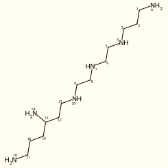 NCCCNCCNCCNCCC(N)CCCN